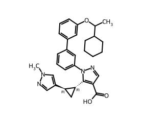 CC(Oc1cccc(-c2cccc(-n3ncc(C(=O)O)c3[C@@H]3C[C@H]3c3cnn(C)c3)c2)c1)C1CCCCC1